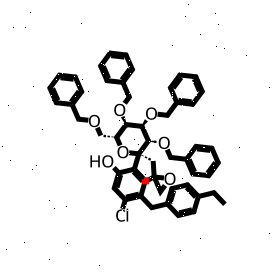 CCc1ccc(Cc2cc([C@@]3(CC4(C)CO4)O[C@H](COCc4ccccc4)[C@@H](OCc4ccccc4)[C@@H](OCc4ccccc4)[C@@H]3OCc3ccccc3)c(O)cc2Cl)cc1